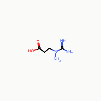 N=C(N)N(N)CCC(=O)O